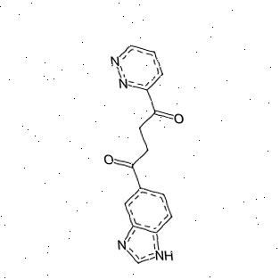 O=C(CCC(=O)c1cccnn1)c1ccc2[nH]cnc2c1